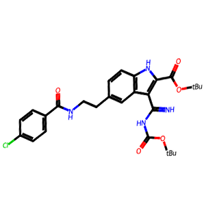 CC(C)(C)OC(=O)NC(=N)c1c(C(=O)OC(C)(C)C)[nH]c2ccc(CCNC(=O)c3ccc(Cl)cc3)cc12